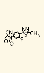 Cc1nnc(-c2ccc(N3C(=O)OCC3C#N)cc2F)s1